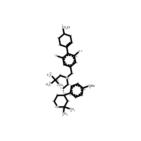 CCOC(=O)C1CC=C(c2c(F)cc(CN(CC[C@@]3(c4ccc(OC)cc4)CCOC(C)(C)C3)CC(C)(C)C(F)(F)F)cc2F)CC1